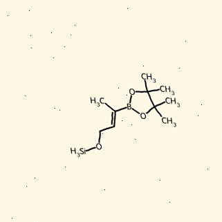 CC(=CCO[SiH3])B1OC(C)(C)C(C)(C)O1